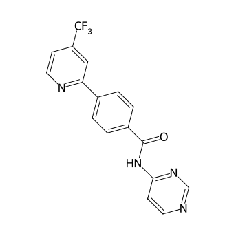 O=C(Nc1ccncn1)c1ccc(-c2cc(C(F)(F)F)ccn2)cc1